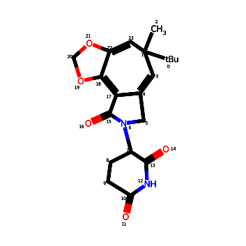 CC(C)(C)C1(C)C=C2CN(C3CCC(=O)NC3=O)C(=O)C2=C2OCOC2=C1